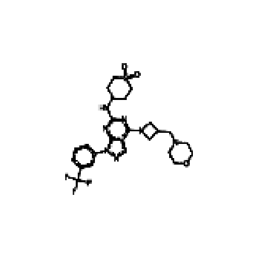 O=S1(=O)CCC(Nc2nc(N3CC(CN4CCOCC4)C3)c3cnn(-c4cccc(C(F)(F)F)c4)c3n2)CC1